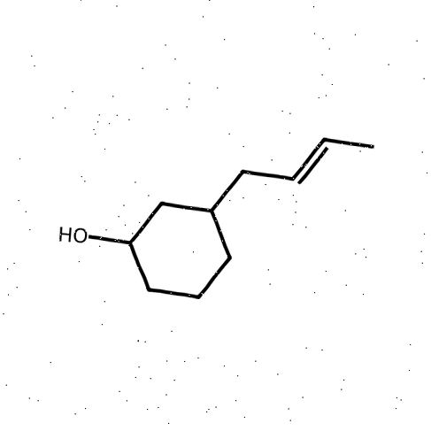 CC=CCC1CCCC(O)C1